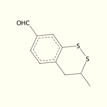 CC1Cc2ccc(C=O)cc2SS1